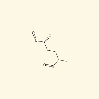 CC(CCC(=O)N=O)N=O